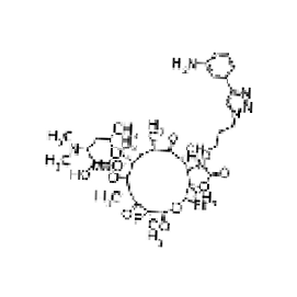 CC[C@H]1OC(=O)[C@@](C)(F)C(=O)[C@H](C)[C@@H](O[C@@H]2OC(C)CC(N(C)C)C2O)[C@](C)(OC)C[C@@H](C)C(=O)[C@H](C)[C@H]2N(CCCCn3cc(-c4cccc(N)c4)nn3)C(=O)O[C@]12C